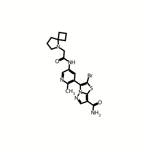 Cc1ncc(NC(=O)CN2CCCC23CCC3)cc1-c1c(Br)sc2c(C(N)=O)cnn12